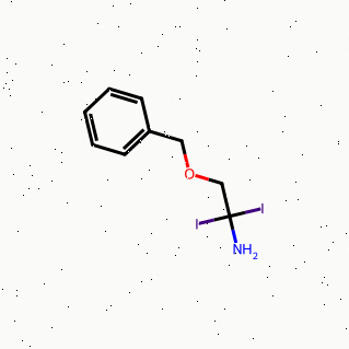 NC(I)(I)COCc1ccccc1